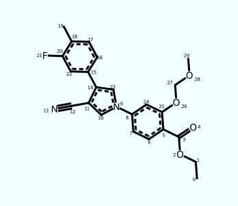 CCOC(=O)c1ccc(-n2cc(C#N)c(-c3ccc(C)c(F)c3)c2)cc1OCOC